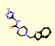 O=C(Nc1nn[nH]n1)N1CCN(Cc2cc3ccccc3s2)CC1